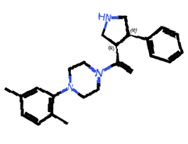 C=C([C@H]1CNC[C@H]1c1ccccc1)N1CCN(c2cc(C)ccc2C)CC1